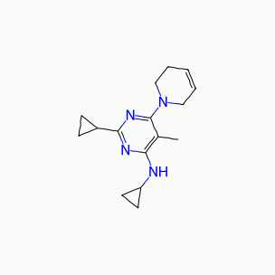 Cc1c(NC2CC2)nc(C2CC2)nc1N1CC=CCC1